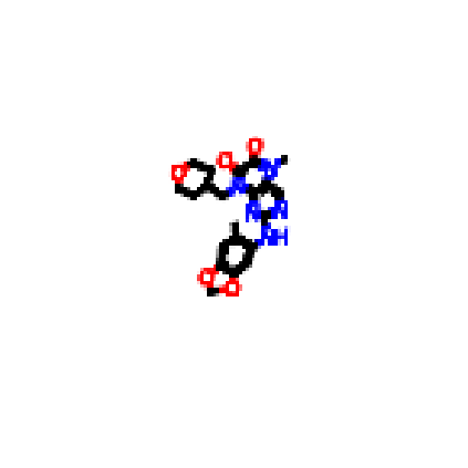 Cc1cc2c(cc1Nc1ncc3c(n1)n(CC1CCOCC1)c(=O)c(=O)n3C)OCO2